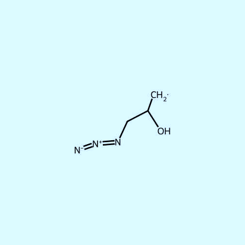 [CH2]C(O)CN=[N+]=[N-]